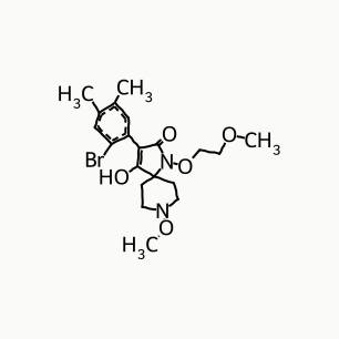 COCCON1C(=O)C(c2cc(C)c(C)cc2Br)=C(O)C12CCN(OC)CC2